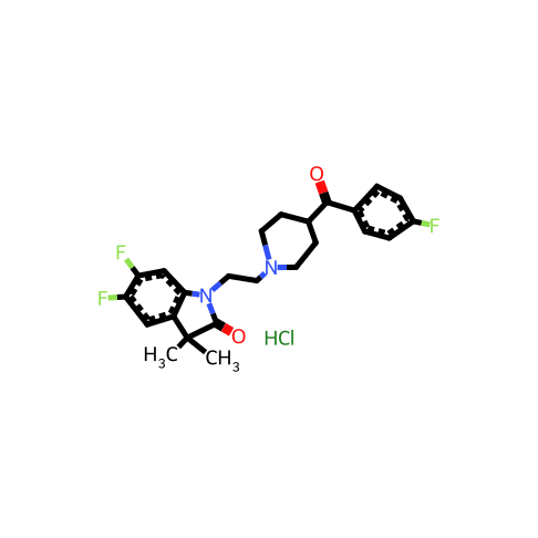 CC1(C)C(=O)N(CCN2CCC(C(=O)c3ccc(F)cc3)CC2)c2cc(F)c(F)cc21.Cl